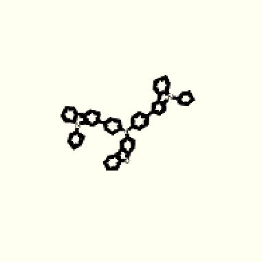 c1ccc(-n2c3ccccc3c3cc(-c4ccc(N(c5ccc(-c6ccc7c8ccccc8n(-c8ccccc8)c7c6)cc5)c5ccc6oc7ccccc7c6c5)cc4)ccc32)cc1